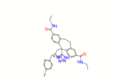 CCNC(=O)c1ccc2c(c1)CCc1cc(C(=O)NCC)ccc1C2(C[C@@H](N)Cc1ccc(F)cc1)c1nnn[nH]1